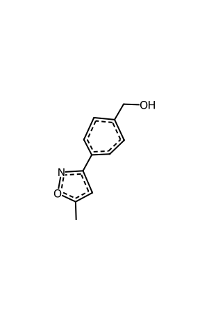 Cc1cc(-c2ccc(CO)cc2)no1